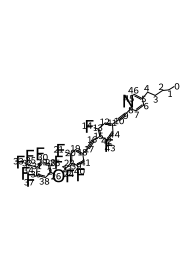 CCCCCc1ccc(C#Cc2cc(F)c(C#Cc3cc(F)c(C(F)(F)Oc4cc(F)c(C(F)(F)F)c(F)c4)c(F)c3)c(F)c2)nc1